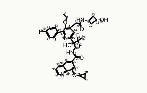 CCOc1c(CC(=O)N[C@H]2C[C@@H](O)C2)cc([C@@](O)(CNC(=O)c2cc(OC3CC3)c3ncccc3c2)C(F)(F)F)nc1-c1ccc(F)cc1